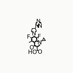 Cc1c(F)c(N2CCC(n3cncn3)C2)c(F)c2c1c(=O)c(C(=O)O)cn2C1CC1